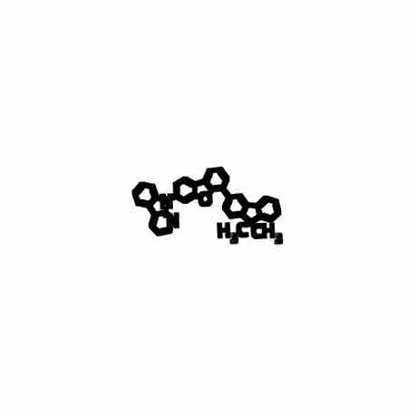 CC1(C)c2ccccc2-c2cc(-c3cccc4c3oc3cc(-n5c6ccccc6c6cccnc65)ccc34)ccc21